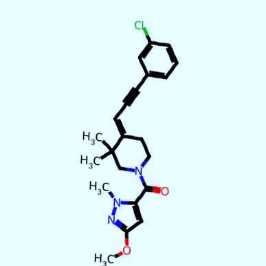 COc1cc(C(=O)N2CC/C(=C\C#Cc3cccc(Cl)c3)C(C)(C)C2)n(C)n1